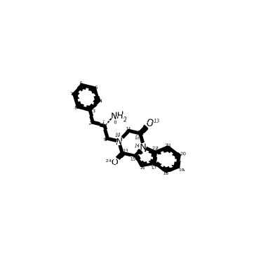 N[C@@H](Cc1ccccc1)CN1CC(=O)n2c(cc3ccccc32)C1=O